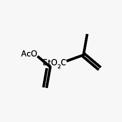 C=C(C)C(=O)OCC.C=COC(C)=O